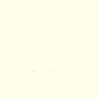 CC[O][Sn][CH](C)c1ccoc1C(C)N.Cl